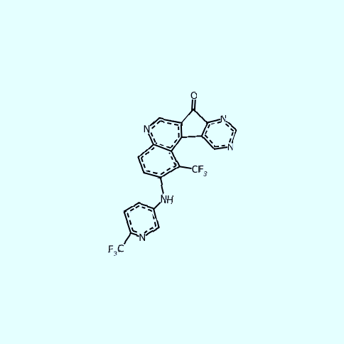 O=C1c2cnc3ccc(Nc4ccc(C(F)(F)F)nc4)c(C(F)(F)F)c3c2-c2cncnc21